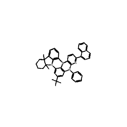 CC(C)(C)c1cc2c3c(c1)N1c4c(cccc4C4(C)CCCCC14C)B3c1ccc(-c3cccc4ccccc34)nc1N2c1ccccc1